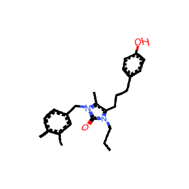 CCCn1c(CCCc2ccc(O)cc2)c(C)n(Cc2ccc(C)c(C)c2)c1=O